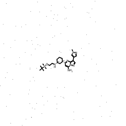 Cn1cc(-c2cnn3c(N)cc([C@H]4CCC[C@@H](NCCO[Si](C)(C)C(C)(C)C)C4)nc23)cn1